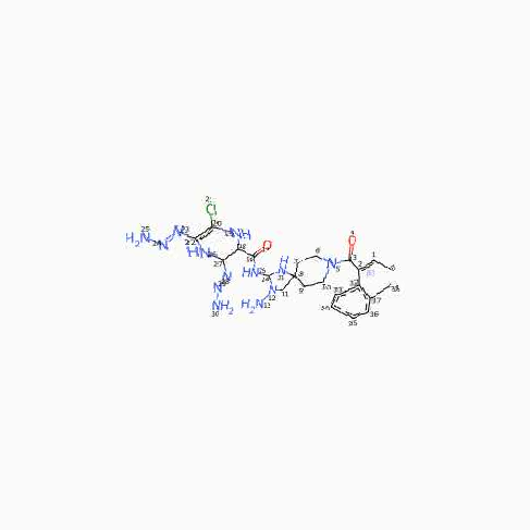 C/C=C(/C(=O)N1CCC2(CC1)CN(N)C(NC(=O)C1NC(Cl)=C(N=NN)NC1N=NN)N2)c1ccccc1C